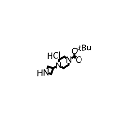 CC(C)(C)OC(=O)N1CCN(C2CNC2)CC1.Cl